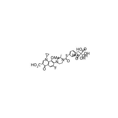 COc1c(N2CCN(C(=O)Sc3ccc(CC(O)(P(=O)(O)O)P(=O)(O)O)cc3)C(C)C2)c(F)cc2c(=O)c(C(=O)O)cn(C3CC3)c12